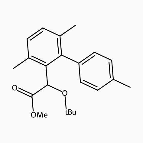 COC(=O)C(OC(C)(C)C)c1c(C)ccc(C)c1-c1ccc(C)cc1